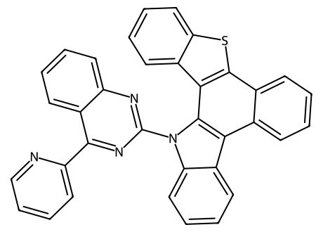 c1ccc(-c2nc(-n3c4ccccc4c4c5ccccc5c5sc6ccccc6c5c43)nc3ccccc23)nc1